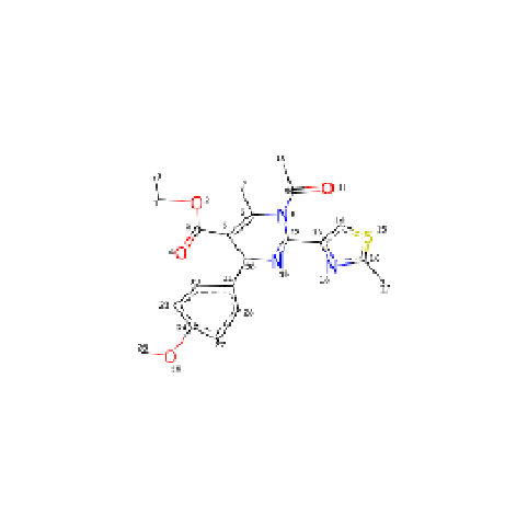 CCOC(=O)C1=C(C)N(C(C)=O)C(c2csc(C)n2)=NC1c1ccc(OC)cc1